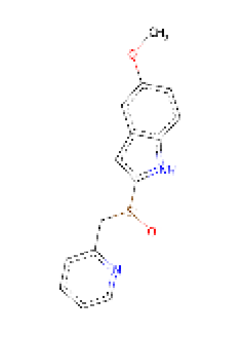 COc1ccc2[nH]c([S+]([O-])Cc3ccccn3)cc2c1